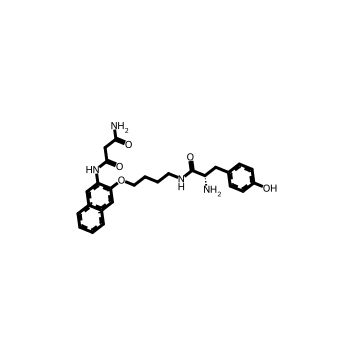 NC(=O)CC(=O)Nc1cc2ccccc2cc1OCCCCNC(=O)[C@@H](N)Cc1ccc(O)cc1